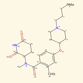 CNCCCN1CCC(Oc2ccc(C(=O)N(C)C3CCC(=O)NC3=O)c(C=O)c2)CC1